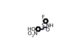 O=C1Nc2ccc(F)cc2S/C1=C\c1ccc(O)c([N+](=O)[O-])c1